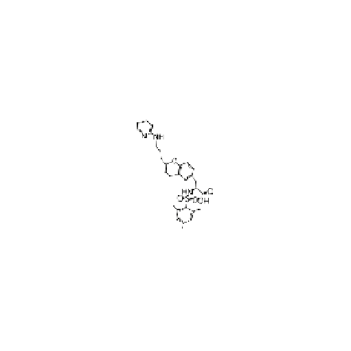 Cc1cc(C)c(S(=O)(=O)N[C@@H](Cc2ccc3c(c2)CCC(CCCNc2ccccn2)O3)C(=O)O)c(C)c1